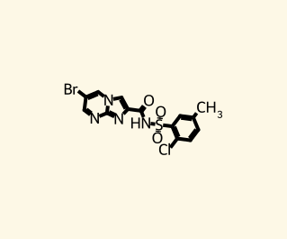 Cc1ccc(Cl)c(S(=O)(=O)NC(=O)c2cn3cc(Br)cnc3n2)c1